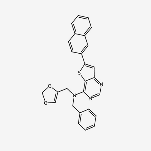 C1=C(CN(Cc2ccccc2)c2ncnc3cc(-c4ccc5ccccc5c4)sc23)OCO1